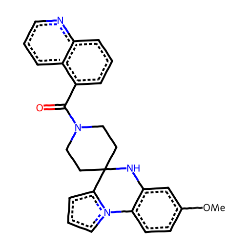 COc1ccc2c(c1)NC1(CCN(C(=O)c3cccc4ncccc34)CC1)c1cccn1-2